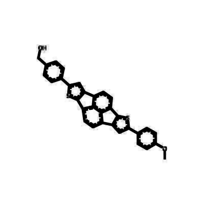 COc1ccc(-c2cc3c(s2)-c2ccc4c5c(ccc-3c25)-c2sc(-c3ccc(CO)cc3)cc2-4)cc1